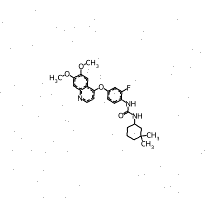 COc1cc2nccc(Oc3ccc(NC(=O)NC4CCCC(C)(C)C4)c(F)c3)c2cc1OC